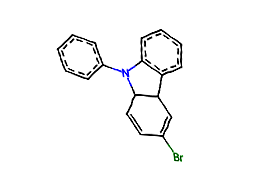 BrC1=CC2c3ccccc3N(c3ccccc3)C2C=C1